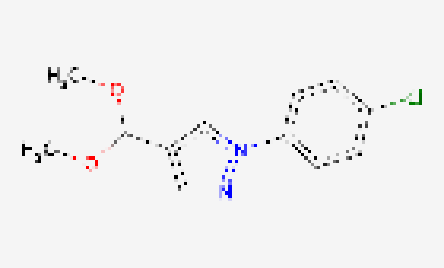 COC(OC)c1cnn(-c2ccc(Cl)cc2)c1